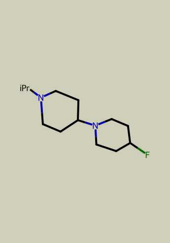 CC(C)N1CCC(N2CCC(F)CC2)CC1